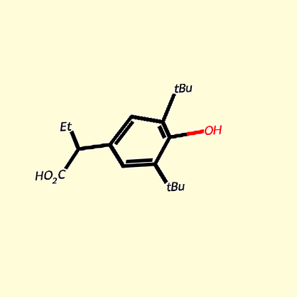 CCC(C(=O)O)c1cc(C(C)(C)C)c(O)c(C(C)(C)C)c1